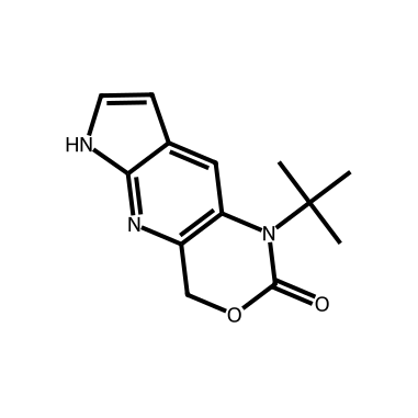 CC(C)(C)N1C(=O)OCc2nc3[nH]ccc3cc21